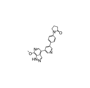 COc1ncc(-c2cncc(-c3ccc(N4CCCC4=O)cc3)c2)c2cn[nH]c12